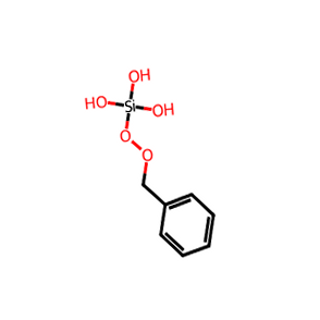 O[Si](O)(O)OOCc1ccccc1